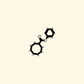 O=C(Oc1ccccc1)C1CCCCCCC1